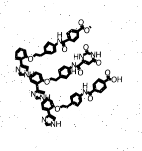 COC(=O)c1ccc(C(=O)Nc2ccc(CCOc3ccccc3-c3c[nH]cn3)cc2)cc1.O=C(Nc1ccc(CCOc2ccccc2-c2c[nH]cn2)cc1)c1cc(=O)[nH]c(=O)[nH]1.O=C(O)c1ccc(C(=O)Nc2ccc(CCOc3ccccc3-c3c[nH]cn3)cc2)cc1